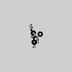 COOCc1ccn2c(NC3CCCCC3)c(-c3ccc(OC)cc3O)nc2c1